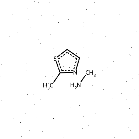 CN.Cc1nccs1